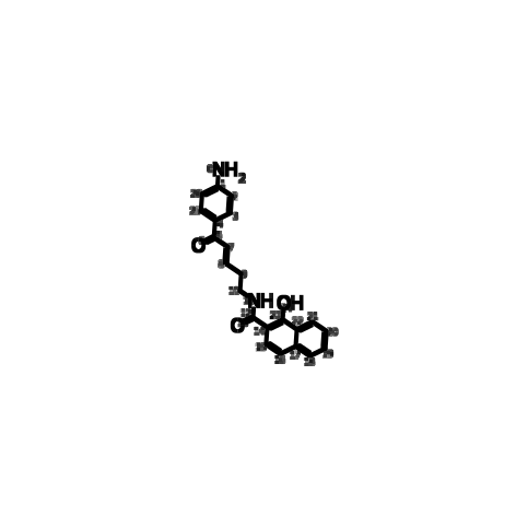 Nc1ccc(C(=O)C=CCCNC(=O)c2ccc3ccccc3c2O)cc1